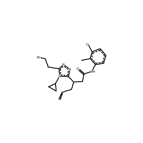 C=CCC(CC(=O)Nc1cccc(Cl)c1C)c1nnc(CCC(C)C)n1C1CC1